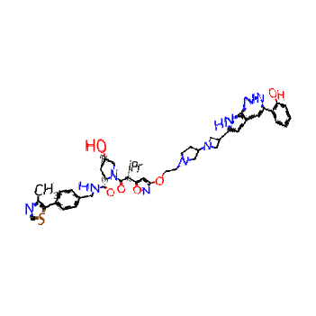 Cc1ncsc1-c1ccc(CNC(=O)[C@@H]2C[C@@H](O)CN2C(=O)[C@@H](c2cc(OCCN3CCC(N4CC(c5cc6cc(-c7ccccc7O)nnc6[nH]5)C4)C3)no2)C(C)C)cc1